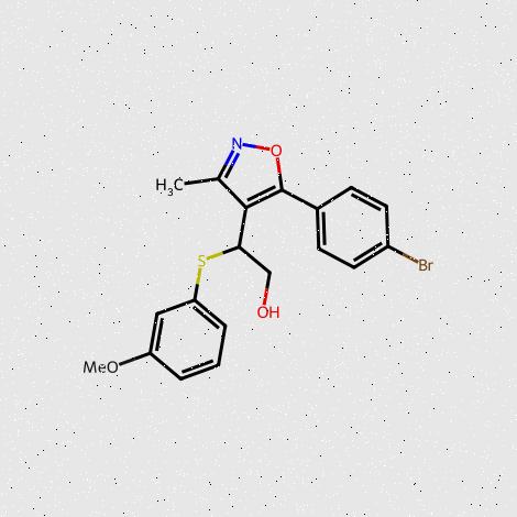 COc1cccc(SC(CO)c2c(C)noc2-c2ccc(Br)cc2)c1